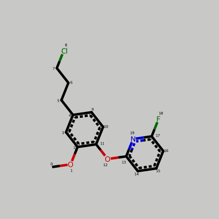 COc1cc(CCCCl)ccc1Oc1cccc(F)n1